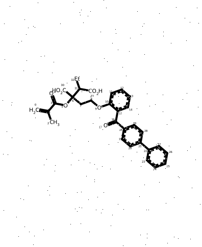 C=C(C)C(=O)OC(CCOc1ccccc1C(=O)c1ccc(-c2ccccc2)cc1)(C(=O)O)C(CC)C(=O)O